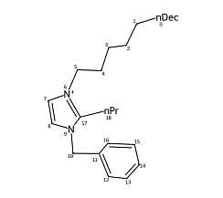 CCCCCCCCCCCCCCC[n+]1ccn(Cc2ccccc2)c1CCC